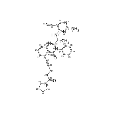 CC(Nc1nc(N)ncc1C#N)c1nc2cccc(C#CCCC(=O)N3CCCC3)c2c(=O)n1-c1ccccc1